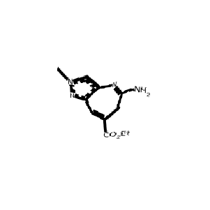 CCOC(=O)C1=Cc2nn(C)cc2N=C(N)C1